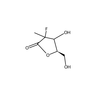 CC1(F)C(=O)O[C@H](CO)C1O